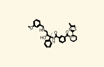 COc1cccc(CNC[C@@H](O)[C@@](C)(NC(=O)c2cccc(C(=O)N3CCCC[C@@H]3c3nc(C)cs3)c2)c2ccccc2)c1